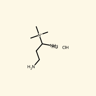 C[N+](C)(C)C(N)CCN.Cl.Cl